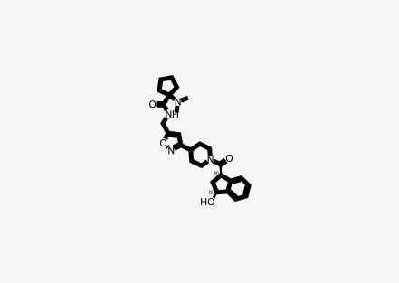 CN(C)C1(C(=O)NCc2cc(C3CCN(C(=O)[C@@H]4C[C@H](O)c5ccccc54)CC3)no2)CCCC1